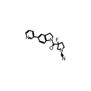 N#CN1CCC(F)(C(=O)N2CCc3cc(-c4cccnc4)ccc32)C1